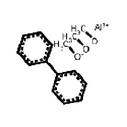 C[O-].C[O-].C[O-].[Al+3].c1ccc(-c2ccccc2)cc1